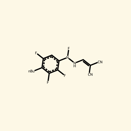 CCCCc1c(F)cc(N(F)NC=C(C#N)C#N)c(F)c1F